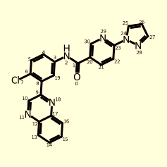 O=C(Nc1ccc(Cl)c(-c2cnc3ccccc3n2)c1)c1ccc(-n2cccn2)nc1